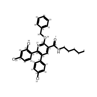 CCCCCNC(=O)c1cc(-c2ccc(Cl)cc2)c(-c2ccc(Cl)cc2Cl)nc1OCc1ccccc1